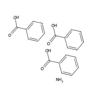 N.O=C(O)c1ccccc1.O=C(O)c1ccccc1.O=C(O)c1ccccc1